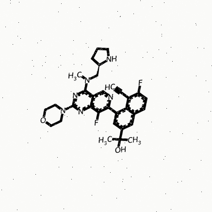 C#Cc1c(F)ccc2cc(C(C)(C)O)cc(-c3ncc4c(N(C)C[C@H]5CCCN5)nc(N5CCOCC5)nc4c3F)c12